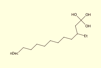 CCCCCCCCCCCCCCCCCC[C](CC)CC(O)(O)O